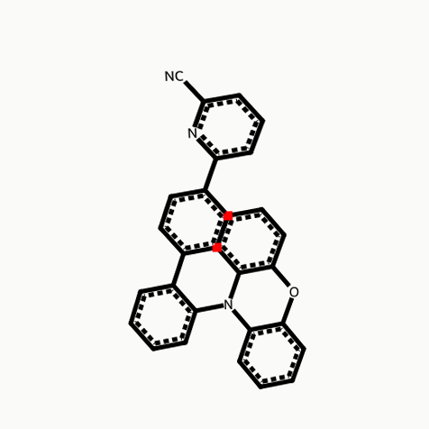 N#Cc1cccc(-c2ccc(-c3ccccc3N3c4ccccc4Oc4ccccc43)cc2)n1